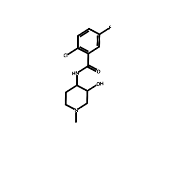 CN1CCC(NC(=O)c2cc(F)ccc2Cl)C(O)C1